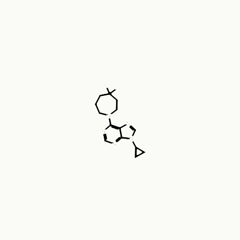 CCC1(CC)CCCN(c2ncnc3c2ncn3C2CC2)CC1